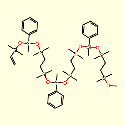 C=C[Si](C)(C)O[Si](C)(O[Si](C)(C)CC[Si](C)(C)O[Si](C)(O[Si](C)(C)CC[Si](C)(C)O[Si](C)(O[Si](C)(C)CC[Si](C)(C)OC)c1ccccc1)c1ccccc1)c1ccccc1